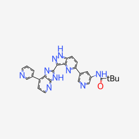 CC(C)(C)C(=O)Nc1cncc(-c2ccc3[nH]nc(-c4nc5c(-c6cccnc6)ccnc5[nH]4)c3n2)c1